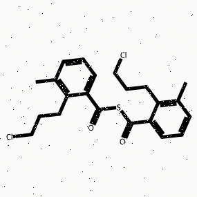 Cc1cccc(C(=O)SC(=O)c2cccc(C)c2CCCCl)c1CCCCl